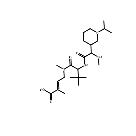 CNC(C(=O)NC(C(=O)N(C)C/C=C(\C)C(=O)O)C(C)(C)C)C1CCCN(C(C)C)C1